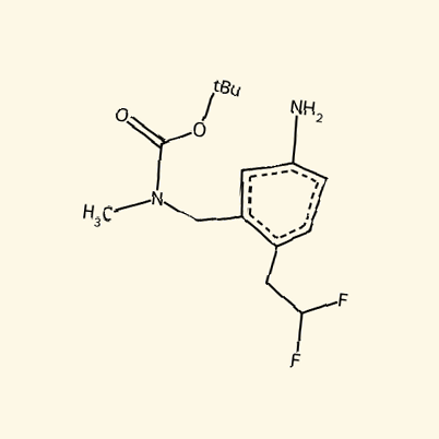 CN(Cc1cc(N)ccc1CC(F)F)C(=O)OC(C)(C)C